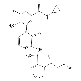 Cc1c(F)cc(C(=O)NC2CC2)cc1-n1ccnc(NC(C)(C)c2ccccc2CCCO)c1=O